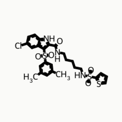 Cc1cc(C)cc(S(=O)(=O)c2c(C(=O)NCCCCCNS(=O)(=O)c3cccs3)[nH]c3ccc(Cl)cc23)c1